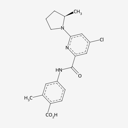 Cc1cc(NC(=O)c2cc(Cl)cc(N3CCC[C@H]3C)n2)ccc1C(=O)O